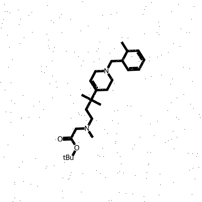 CC1C=CC=CC1CN1CC=C(C(C)(C)CCN(C)CC(=O)OC(C)(C)C)CC1